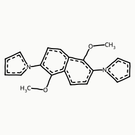 COc1c(-n2cccc2)ccc2c(OC)c(-n3cccc3)ccc12